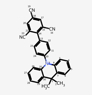 CC1(C)c2ccccc2N(c2ccc(-c3c(C#N)cc(C#N)cc3C#N)cc2)c2ccccc21